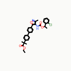 CCOC(=O)C(C)(C)c1ccc(-c2ccc(-c3onc(C)c3NC(=O)OC(C)c3ccccc3Cl)cc2)cc1